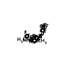 Cc1cc(F)ccc1Nc1nc2ccc3c(C)c(C=CCN4CCN(S(=O)(=O)C(C)C)CC4)[nH]c(=O)c3c2n1C